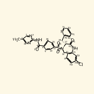 Cc1cnc(NC(=O)c2ccc(S(=O)(=O)N3Cc4ccc(Cl)cc4NC(=O)[C@H]3Cc3ccccn3)cc2)nc1